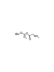 CC(C)(C)O[SiH2]OC(=O)CN